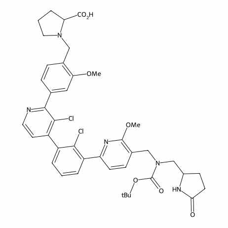 COc1cc(-c2nccc(-c3cccc(-c4ccc(CN(CC5CCC(=O)N5)C(=O)OC(C)(C)C)c(OC)n4)c3Cl)c2Cl)ccc1CN1CCCC1C(=O)O